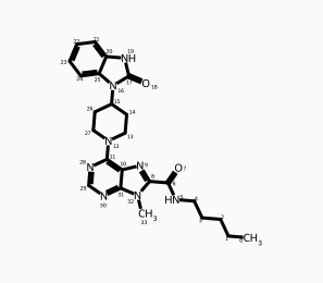 CCCCCNC(=O)c1nc2c(N3CCC(n4c(=O)[nH]c5ccccc54)CC3)ncnc2n1C